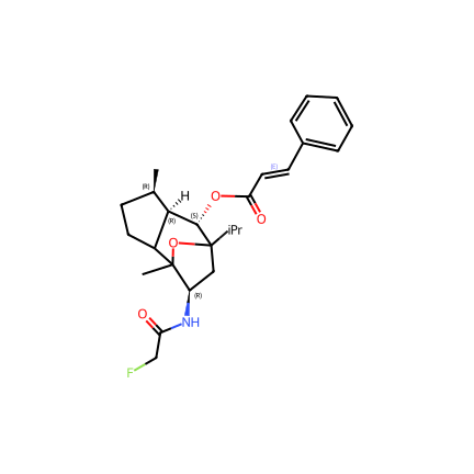 CC(C)C12C[C@@H](NC(=O)CF)C(C)(O1)C1CC[C@@H](C)[C@H]1[C@@H]2OC(=O)/C=C/c1ccccc1